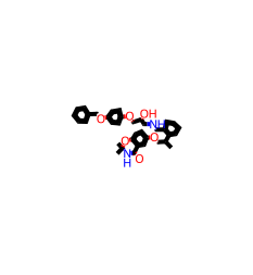 CC(COc1ccc2c(c1)C(=O)NC(C)(C)O2)c1ccccc1CNCC(O)COc1ccc(OCc2ccccc2)cc1